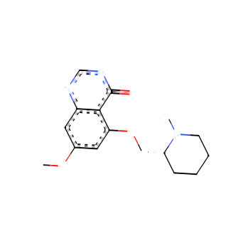 CCOc1cc(OC[C@H]2CCCCN2C(=O)O)c2c(=O)[nH]cnc2c1